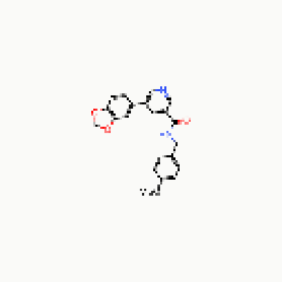 COc1ccc(CNC(=O)c2cncc(-c3ccc4c(c3)OCO4)c2)cc1